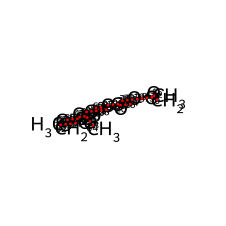 C=C(C)C(=O)OCCCCCCOc1ccc2cc(C(=O)OCCCOc3ccc4cc(C(=O)Oc5ccc(OC(=O)c6ccc7cc(OC(=O)C(=C)C)ccc7c6)c(C(=O)OCCC)c5)ccc4c3)ccc2c1